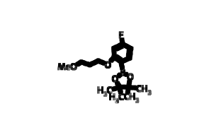 COCCCOc1cc(F)ccc1B1OC(C)(C)C(C)(C)O1